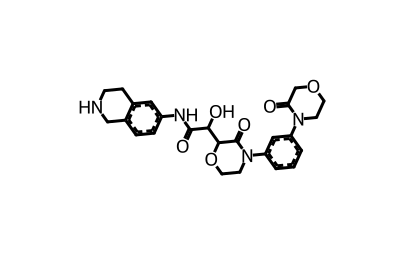 O=C(Nc1ccc2c(c1)CCNC2)C(O)C1OCCN(c2cccc(N3CCOCC3=O)c2)C1=O